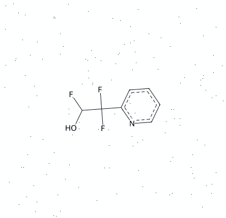 OC(F)C(F)(F)c1ccccn1